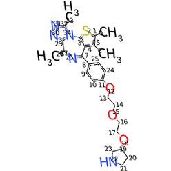 Cc1sc2c(c1C)C(c1ccc(OCCOCCO[C@@H]3CCNC3)cc1)=N[C@@H](C)c1nnc(C)n1-2